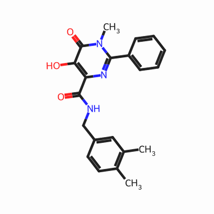 Cc1ccc(CNC(=O)c2nc(-c3ccccc3)n(C)c(=O)c2O)cc1C